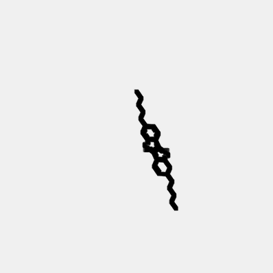 CCCCCc1ccc2c(c1)sc1c3c(sc12)CC(CCCCC)C=C3